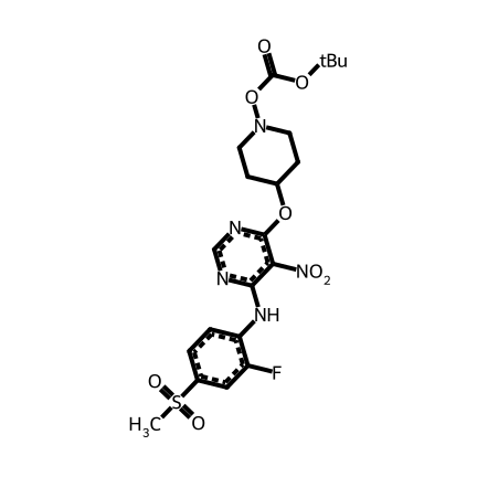 CC(C)(C)OC(=O)ON1CCC(Oc2ncnc(Nc3ccc(S(C)(=O)=O)cc3F)c2[N+](=O)[O-])CC1